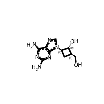 Nc1nc(N)c2ncn([C@@H]3C[C@H](CO)[C@H]3O)c2n1